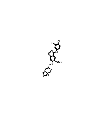 COc1cc2c(Nc3ccc(Cl)c(Cl)c3)ncnc2cc1OC[C@H]1CN2CSC[C@H]2CO1